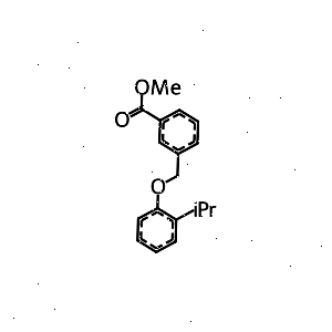 COC(=O)c1cccc(COc2ccccc2C(C)C)c1